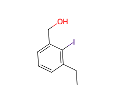 CCc1cccc(CO)c1I